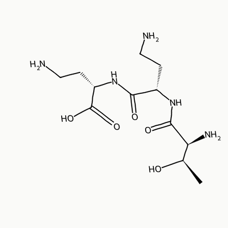 C[C@@H](O)[C@H](N)C(=O)N[C@@H](CCN)C(=O)N[C@@H](CCN)C(=O)O